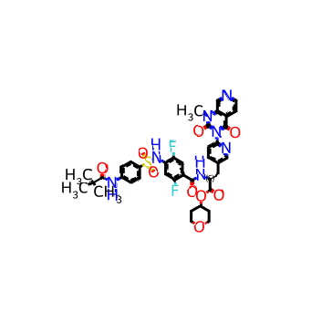 Cn1c(=O)n(-c2ccc(C[C@H](NC(=O)c3cc(F)c(NS(=O)(=O)c4ccc(NC(=O)C(C)(C)C)cc4)cc3F)C(=O)OC3CCOCC3)cn2)c(=O)c2ccncc21